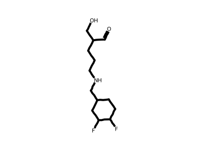 O=CC(CO)CCCNCC1CCC(F)C(F)C1